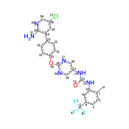 Cc1ccc(C(F)(F)F)cc1NC(=O)Nc1cnc(Oc2ccc(-c3cc(Cl)cnc3N)cc2)nc1